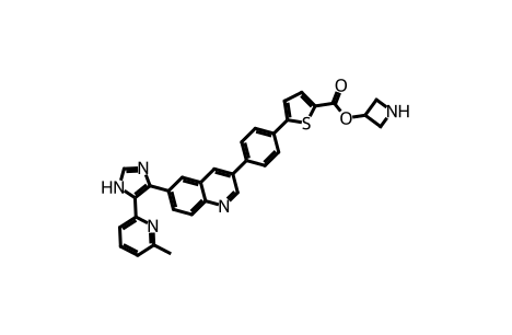 Cc1cccc(-c2[nH]cnc2-c2ccc3ncc(-c4ccc(-c5ccc(C(=O)OC6CNC6)s5)cc4)cc3c2)n1